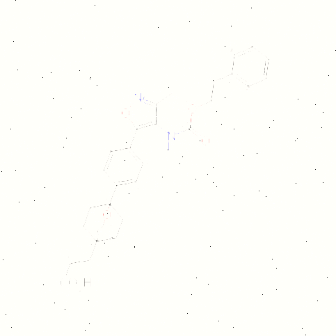 Cc1noc(-c2ccc(C34CCC(CCC(=O)O)(CC3)CO4)cc2)c1NC(=O)OCCc1ccccc1